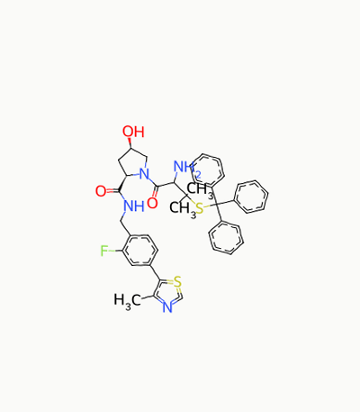 Cc1ncsc1-c1ccc(CNC(=O)[C@H]2C[C@@H](O)CN2C(=O)C(N)C(C)(C)SC(c2ccccc2)(c2ccccc2)c2ccccc2)c(F)c1